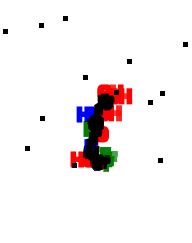 O=C(CCCN1CCC(O)(c2cccc(C(F)(F)F)c2)CC1)c1ccc(NC(O)Cc2ccc(O)c(O)c2)cc1F